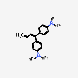 C=CC=C(c1ccc(N(CCC)CCC)cc1)c1ccc(N(CCC)CCC)cc1